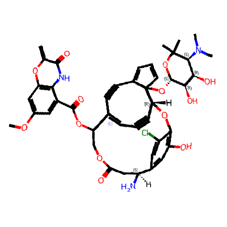 C=C1Oc2cc(OC)cc(C(=O)OC3COC(=O)C[C@H](N)c4cc(O)c(c(Cl)c4)O[C@@H]4C#C/C=C/3C#CC3=CC=CC34O[C@@H]3OC(C)(C)[C@@H](N(C)C)[C@@H](O)[C@H]3O)c2NC1=O